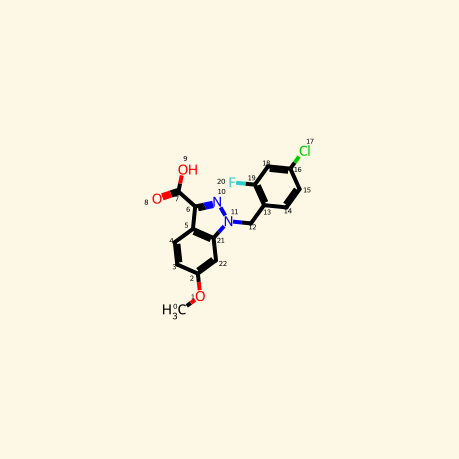 COc1ccc2c(C(=O)O)nn(Cc3ccc(Cl)cc3F)c2c1